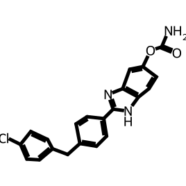 NC(=O)Oc1ccc2[nH]c(-c3ccc(Cc4ccc(Cl)cc4)cc3)nc2c1